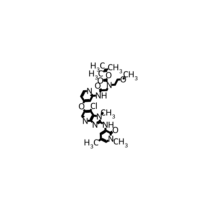 COCCN(CC(=O)Nc1cc(Oc2cnc3nc(Nc4cc(C)cn(C)c4=O)n(C)c3c2Cl)ccn1)C(=O)OC(C)(C)C